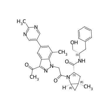 CC(=O)c1nn(CC(=O)N2[C@H](C(=O)N[C@H](CO)Cc3ccccc3)C[C@@]3(C)C[C@@H]23)c2c(C)cc(-c3cnc(C)nc3)cc12